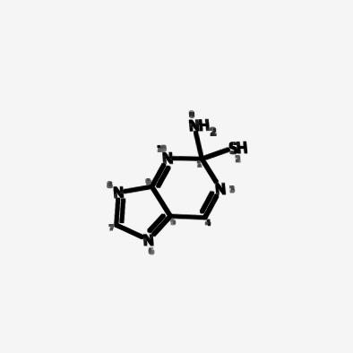 NC1(S)N=CC2=NC=NC2=N1